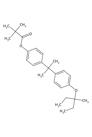 CCC(C)(CC)Oc1ccc(C(C)(C)c2ccc(OC(=O)C(C)(C)C)cc2)cc1